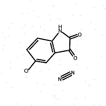 N#N.O=C1Nc2ccc(Cl)cc2C1=O